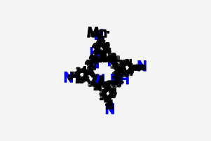 N#Cc1ccc(-c2c3nc(c(-c4ccc(C#N)cc4)c4ccc([nH]4)c(-c4ccc(C#N)cc4)c4nc(c(-c5ccc(C#N)cc5)c5ccc2[nH]5)C=C4)C=C3)cc1.[Mn]